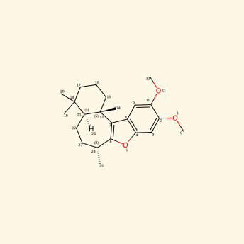 COc1cc2oc3c(c2cc1OC)[C@@]1(C)CCCC(C)(C)[C@@H]1CC[C@H]3C